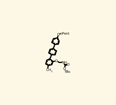 CCCCCOc1ccc(-c2ccc(-c3ccc(C)cc3OCNC(=O)OC(C)(C)C)cc2)cc1